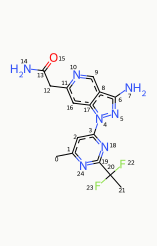 Cc1cc(-n2nc(N)c3cnc(CC(N)=O)cc32)nc(C(C)(F)F)n1